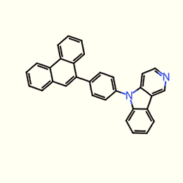 c1ccc2c(c1)cc(-c1ccc(-n3c4ccccc4c4cnccc43)cc1)c1ccccc12